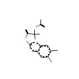 Cc1cc2nc3n(c2cc1C)C(NC(=O)C(F)(F)F)(C(F)(F)F)C(=O)N3